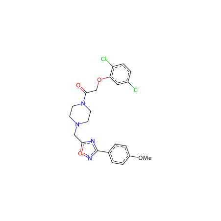 COc1ccc(-c2noc(CN3CCN(C(=O)COc4cc(Cl)ccc4Cl)CC3)n2)cc1